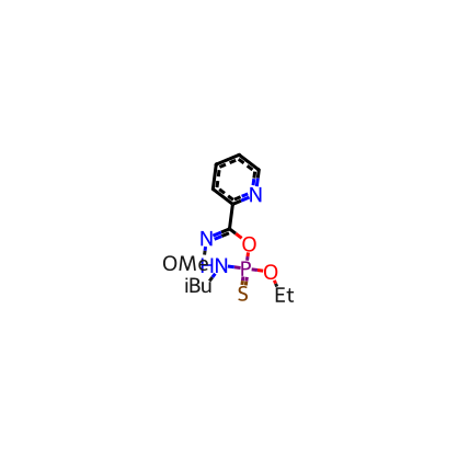 CCOP(=S)(NC(C)CC)OC(=NOC)c1ccccn1